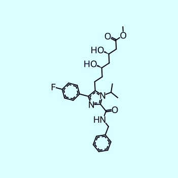 COC(=O)C[C@H](O)C[C@H](O)CCc1c(-c2ccc(F)cc2)nc(C(=O)NCc2ccccc2)n1C(C)C